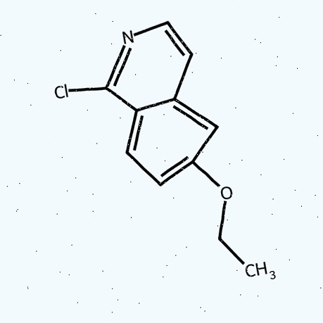 CCOc1ccc2c(Cl)nccc2c1